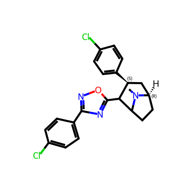 CN1C2CC[C@@H]1C[C@H](c1ccc(Cl)cc1)C2c1nc(-c2ccc(Cl)cc2)no1